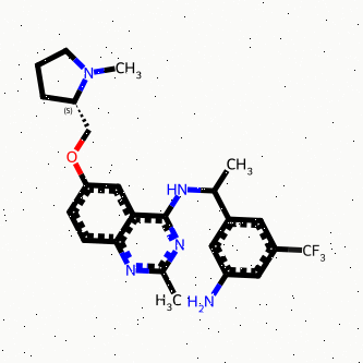 Cc1nc(NC(C)c2cc(N)cc(C(F)(F)F)c2)c2cc(OC[C@@H]3CCCN3C)ccc2n1